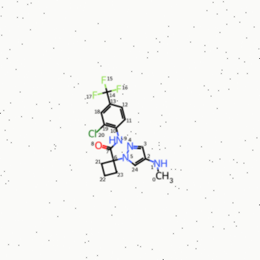 CNc1cnn(C2(C(=O)Nc3ccc(C(F)(F)F)cc3Cl)CCC2)c1